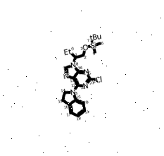 CCC(CO[Si](C)(C)C(C)(C)C)n1cnc2c(N3CCc4ccccc43)nc(Cl)nc21